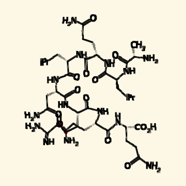 CC(C)C[C@H](NC(=O)[C@H](C)N)C(=O)N[C@@H](CCC(N)=O)C(=O)N[C@@H](CC(C)C)C(=O)N[C@@H](CC(N)=O)C(=O)N[C@@H](CC(N)=O)C(=O)N[C@@H](CCCNC(=N)N)C(=O)N[C@@H](CCC(N)=O)C(=O)O